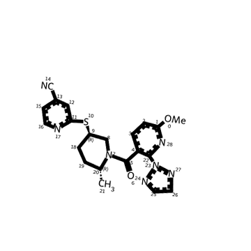 COc1ccc(C(=O)N2C[C@H](Sc3cc(C#N)ccn3)CC[C@H]2C)c(-n2nccn2)n1